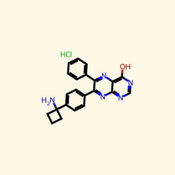 Cl.NC1(c2ccc(-c3nc4ncnc(O)c4nc3-c3ccccc3)cc2)CCC1